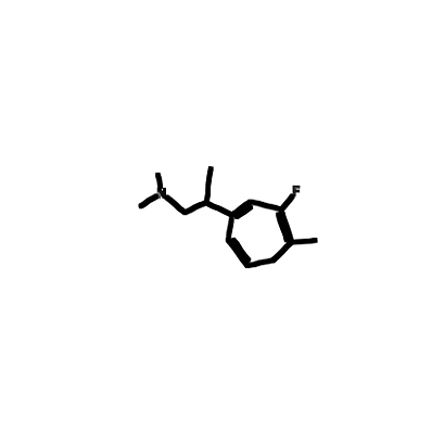 CC1=C(F)C=C(C(C)CN(C)C)C=CC1